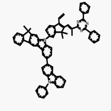 C=CC1=C(/C=C(\C)c2nc(-c3ccccc3)nc(-c3ccccc3)n2)C(C)(C)c2cc(-n3c4ccc(-c5ccc6c(c5)c5ccccc5n6-c5ccccc5)cc4c4cc5c(cc43)C(C)(C)c3ccccc3-5)ccc21